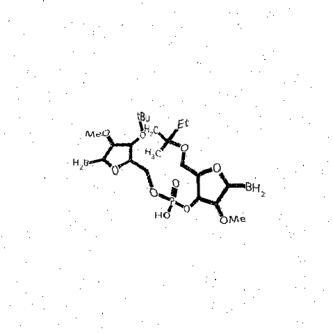 BC1OC(COP(=O)(O)OC2C(COC(C)(C)CC)OC(B)C2OC)C(OC(C)(C)C)C1OC